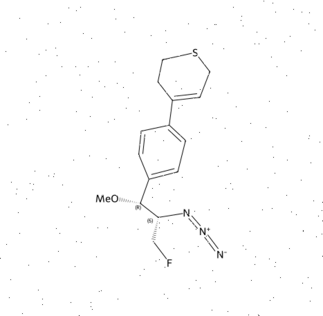 CO[C@H](c1ccc(C2=CCSCC2)cc1)[C@@H](CF)N=[N+]=[N-]